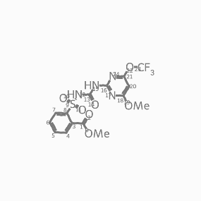 COC(=O)c1ccccc1S(=O)(=O)NC(=O)Nc1nc(OC)cc(OC(F)(F)F)n1